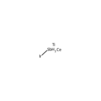 [Ce].[SbH2][Ir].[Ti]